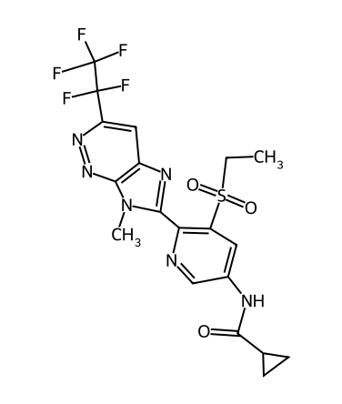 CCS(=O)(=O)c1cc(NC(=O)C2CC2)cnc1-c1nc2cc(C(F)(F)C(F)(F)F)nnc2n1C